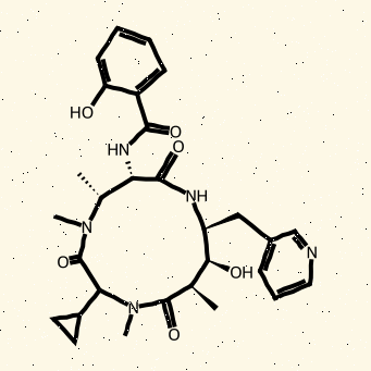 C[C@@H]1[C@H](NC(=O)c2ccccc2O)C(=O)N[C@@H](Cc2cccnc2)[C@@H](O)[C@@H](C)C(=O)N(C)C(C2CC2)C(=O)N1C